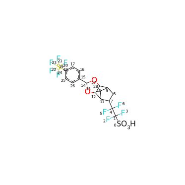 O=S(=O)(O)C(F)(F)C(F)(F)C1CC2CC1C1OC(c3ccc(S(F)(F)(F)(F)F)cc3)OC21